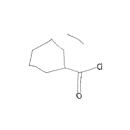 CC.O=C(Cl)C1CCCCC1